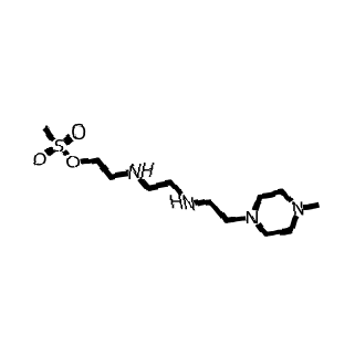 CN1CCN(CCNCCNCCOS(C)(=O)=O)CC1